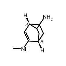 CNC1=C[C@@H]2CC[C@H]1CC2N